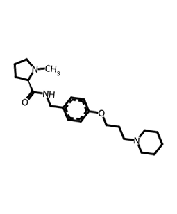 CN1CCC[C@@H]1C(=O)NCc1ccc(OCCCN2CCCCC2)cc1